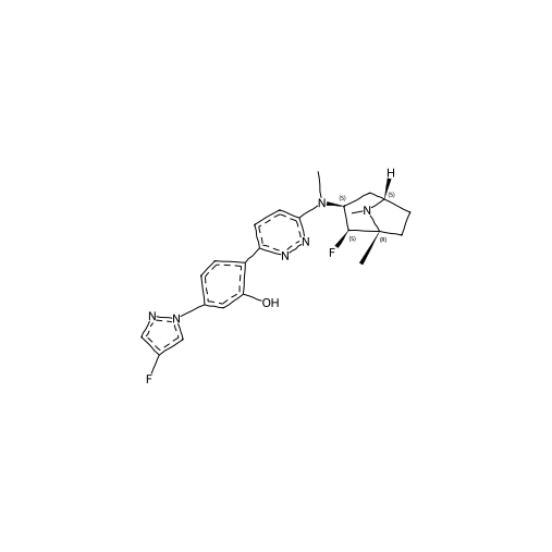 CN(c1ccc(-c2ccc(-n3cc(F)cn3)cc2O)nn1)[C@H]1C[C@@H]2CC[C@](C)([C@H]1F)N2C